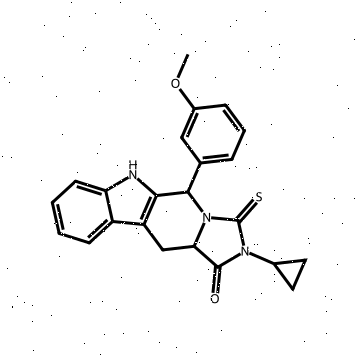 COc1cccc(C2c3[nH]c4ccccc4c3CC3C(=O)N(C4CC4)C(=S)N32)c1